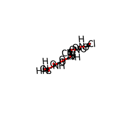 O=C(CCCC[C@H]1SCC2NC(=O)NC21)NCCCCCOC(=O)CCCCCn1cc(-c2cc(OCC(=O)N[C@H]3CC[C@H](NC(=O)COc4ccc(Cl)cc4)CC3)ccc2Cl)nn1